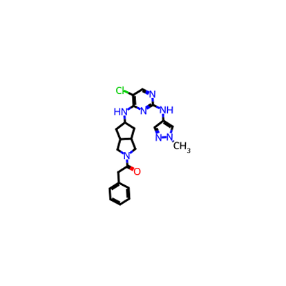 Cn1cc(Nc2ncc(Cl)c(NC3CC4CN(C(=O)Cc5ccccc5)CC4C3)n2)cn1